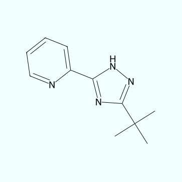 CC(C)(C)c1n[nH]c(-c2ccccn2)n1